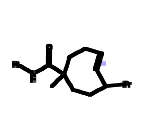 CCNC(=O)C1(C)CC/C=C/C(C(C)C)CC1